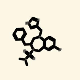 CN(C)S(=O)(=O)N1Cc2cc(Br)ccc2N(Cc2c[nH]cn2)CC1Cc1ccccc1